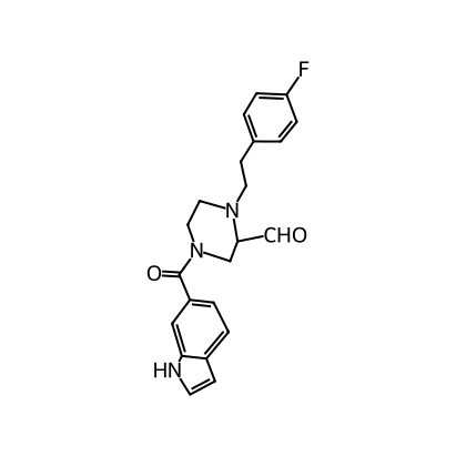 O=CC1CN(C(=O)c2ccc3cc[nH]c3c2)CCN1CCc1ccc(F)cc1